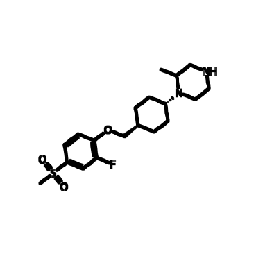 CC1CNCCN1[C@H]1CC[C@H](COc2ccc(S(C)(=O)=O)cc2F)CC1